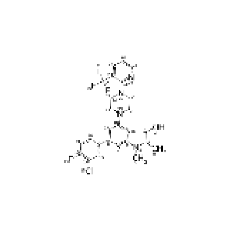 CC(CO)N(C)c1nc(-c2ccc(F)c(Cl)c2)cc(N2CCN(c3ncccc3C(F)(F)F)CC2)n1